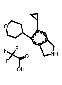 O=C(O)C(F)(F)F.c1c2c(cc(C3CC3)c1C1CCOCC1)CNC2